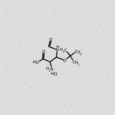 CC(C)(C)OC(NC=O)C(N)C(=O)O.Cl